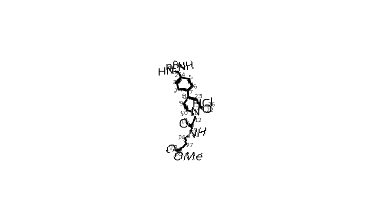 CCCCNC(=N)c1ccc(-c2ccn(CC(=O)NCCC(=O)OC)c(=O)c2)cc1.Cl